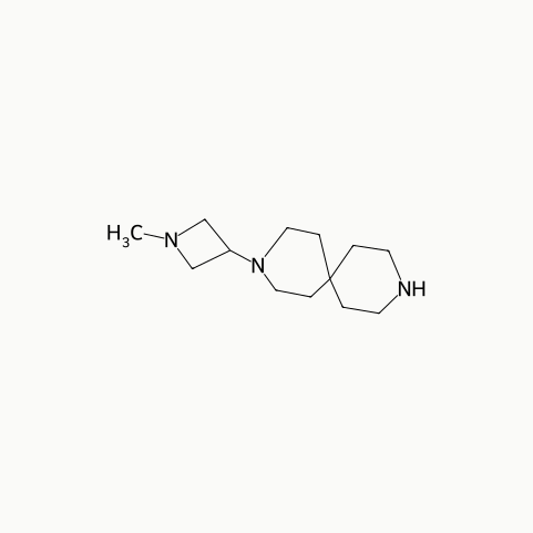 CN1CC(N2CCC3(CCNCC3)CC2)C1